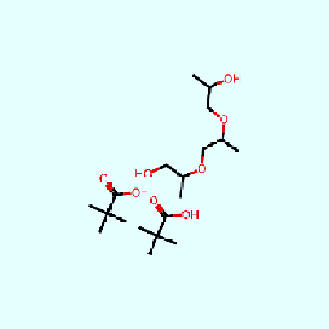 CC(C)(C)C(=O)O.CC(C)(C)C(=O)O.CC(O)COC(C)COC(C)CO